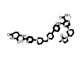 CN1CCN(C2CCCN(c3cnc(C(N)=O)c(Nc4ccc(C5CCN(CC6CCN(c7ccc(C(=O)NC8CCC(=O)NC8=O)nc7)CC6)CC5)cc4)n3)C2)C1=O